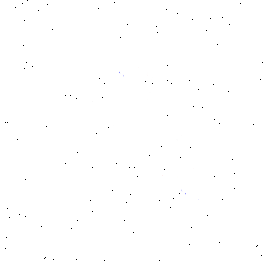 COc1c(F)cccc1-c1noc(CSC)c1-c1ccc(S(N)(=O)=O)cc1